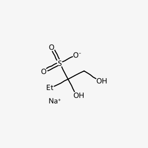 CCC(O)(CO)S(=O)(=O)[O-].[Na+]